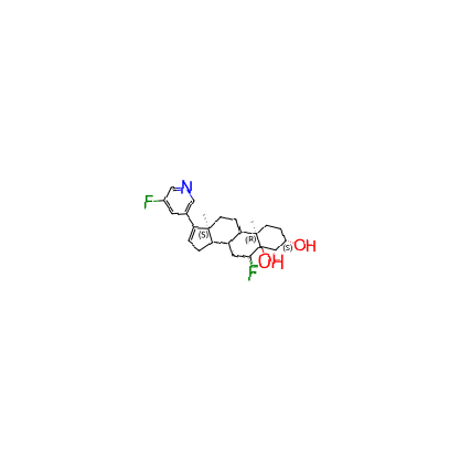 C[C@]12CCC3C(CC(F)C4(O)C[C@@H](O)CC[C@]34C)C1CC=C2c1cncc(F)c1